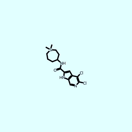 C[Si]1(C)CCCC(NC(=O)c2cc3c(Cl)c(Cl)ncc3[nH]2)CC1